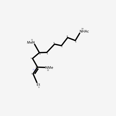 CC/C=C(/CC(CCCCCNC(C)=O)NC)NC